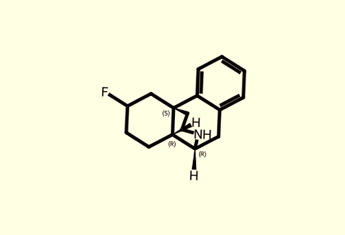 FC1CC[C@H]2[C@H]3Cc4ccccc4[C@@]2(CCN3)C1